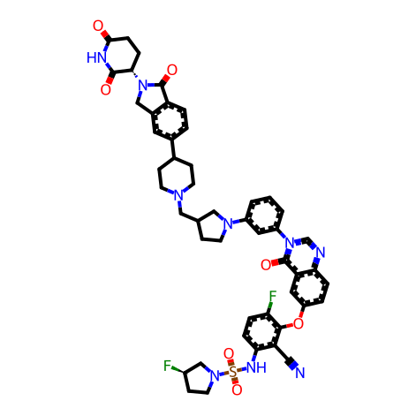 N#Cc1c(NS(=O)(=O)N2CC[C@@H](F)C2)ccc(F)c1Oc1ccc2ncn(-c3cccc(N4CCC(CN5CCC(c6ccc7c(c6)CN([C@H]6CCC(=O)NC6=O)C7=O)CC5)C4)c3)c(=O)c2c1